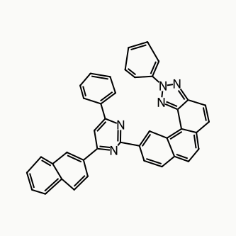 c1ccc(-c2cc(-c3ccc4ccccc4c3)nc(-c3ccc4ccc5ccc6nn(-c7ccccc7)nc6c5c4c3)n2)cc1